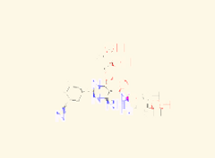 CC(C)(O)CONC(=O)c1c(N)nc(-c2cccc(C#N)c2)nc1OC[C@H](O)CO